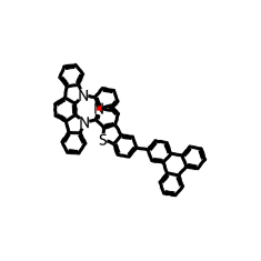 c1ccc(-n2c3ccccc3c3ccc4c5ccccc5n(-c5nccc6c5sc5ccc(-c7ccc8c9ccccc9c9ccccc9c8c7)cc56)c4c32)cc1